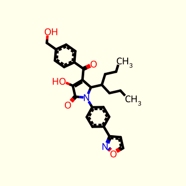 CCCC(CCC)C1C(C(=O)c2ccc(CO)cc2)=C(O)C(=O)N1c1ccc(-c2ccon2)cc1